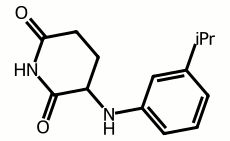 CC(C)c1cccc(NC2CCC(=O)NC2=O)c1